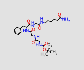 CC(C)(C)OC(=O)NCC(=O)NCC(=O)N[C@@H](CC1C=CC=CC1)C(=O)NCC(=O)NCCCCCC(N)=O